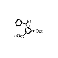 CCCCCCCCc1cc(CCCCCCCC)c[n+](C(CC)c2ccccc2)c1